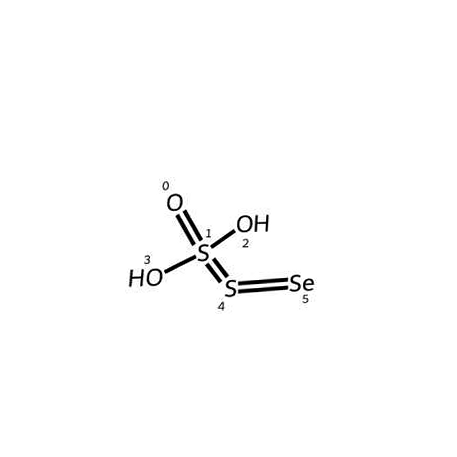 O=S(O)(O)=S=[Se]